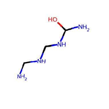 NCNCNC(N)O